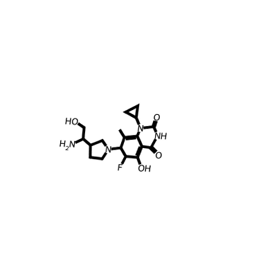 CC1=c2c(c(=O)[nH]c(=O)n2C2CC2)=C(O)C(F)C1N1CCC(C(N)CO)C1